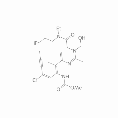 C=C(/N=C(/C)N(CO)CC(=O)N(CC)CCC(C)C)/C(C)=C(/C=C(/Cl)C#CC)NC(=O)OC